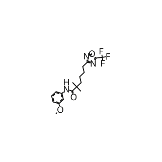 COc1cccc(NC(=O)C(C)(C)CCCCc2noc(C(F)(F)F)n2)c1